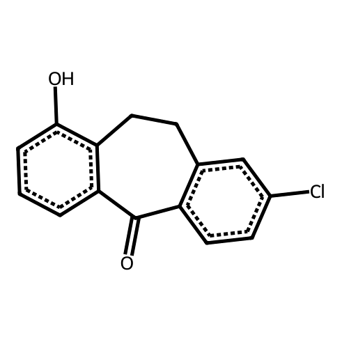 O=C1c2ccc(Cl)cc2CCc2c(O)cccc21